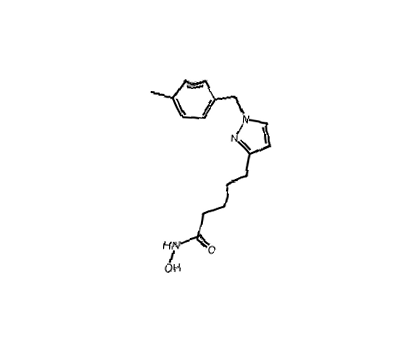 Cc1ccc(Cn2ccc(CCCCC(=O)NO)n2)cc1